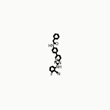 N#Cc1c(F)cccc1Nc1nc2ccc(-c3ccc(NC(=O)Cc4ccccc4)cc3)cn2n1